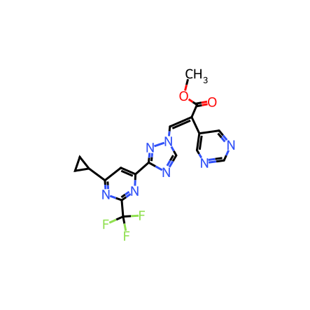 COC(=O)/C(=C/n1cnc(-c2cc(C3CC3)nc(C(F)(F)F)n2)n1)c1cncnc1